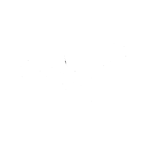 Cc1ccccc1S(=O)(=O)O.N[C@@H](CCC(=O)OCc1ccccc1)C(=O)OCc1ccccc1